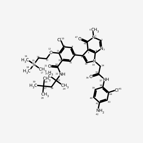 Cn1cnc2c(c(-c3cc(Cl)c(OCC[Si](C)(C)C)c(C(=O)NC(C)(C)CC(C)(C)C)c3)cn2CC(=O)Nc2ccc(N)cc2Cl)c1=O